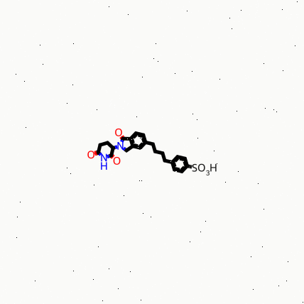 O=C1CCC(N2Cc3cc(CCCCc4ccc(S(=O)(=O)O)cc4)ccc3C2=O)C(=O)N1